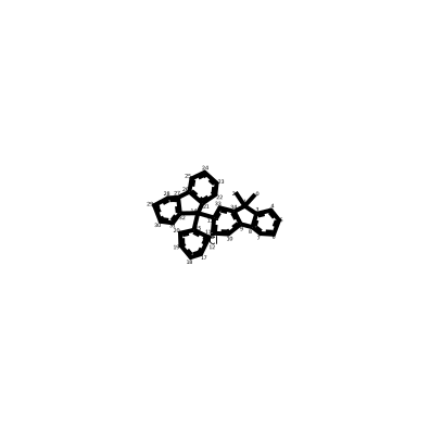 CC1(C)c2ccccc2-c2cc(Cl)c(C3(c4ccccc4)c4ccccc4-c4ccccc43)cc21